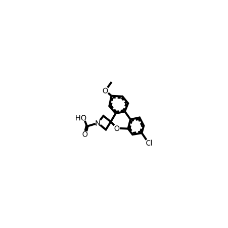 COc1ccc2c(c1)C1(CN(C(=O)O)C1)Oc1cc(Cl)ccc1-2